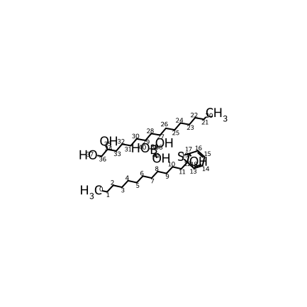 CCCCCCCCCCCCC12C=CC=CC1(O)S2.CCCCCCCCCCCCCCC(O)CO.OB(O)O